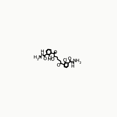 NNC(=O)c1cccc(C(=O)CCCC(O)C(=O)c2cccc(C(=O)NN)c2Cl)c1Cl